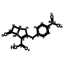 O=C(O)C1=C(Cc2ccc([N+](=O)[O-])cc2)CC2CC(=O)N12